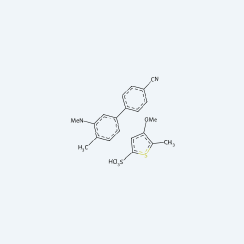 CNc1cc(-c2ccc(C#N)cc2)ccc1C.COc1cc(S(=O)(=O)O)sc1C